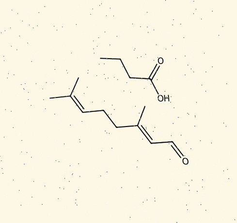 CC(C)=CCC/C(C)=C/C=O.CCCC(=O)O